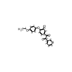 CCOc1ccc(Oc2ccc(C(=O)C(=O)c3cccnc3)cc2Cl)cc1